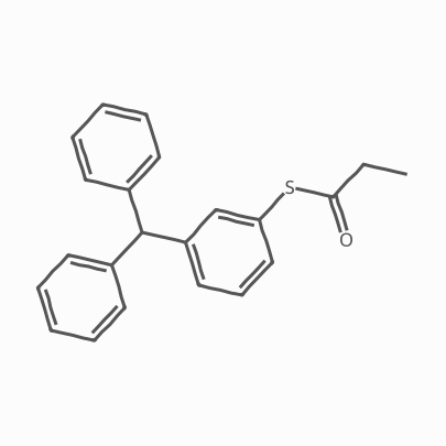 CCC(=O)Sc1cccc(C(c2ccccc2)c2ccccc2)c1